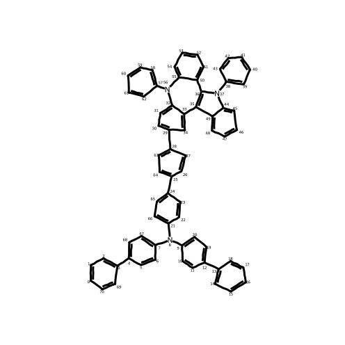 c1ccc(-c2ccc(N(c3ccc(-c4ccccc4)cc3)c3ccc(-c4ccc(-c5ccc6c(c5)-c5c(n(-c7ccccc7)c7ccccc57)-c5ccccc5N6c5ccccc5)cc4)cc3)cc2)cc1